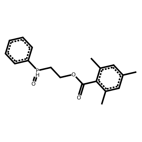 Cc1cc(C)c(C(=O)OCC[PH](=O)c2ccccc2)c(C)c1